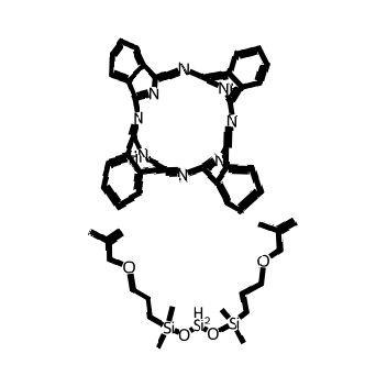 C=C(C)COCCC[Si](C)(C)O[SiH2]O[Si](C)(C)CCCOCC(=C)C.c1ccc2c(c1)-c1nc-2nc2[nH]c(nc3nc(nc4[nH]c(n1)c1ccccc41)-c1ccccc1-3)c1ccccc21